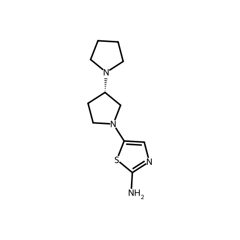 Nc1ncc(N2CC[C@H](N3CCCC3)C2)s1